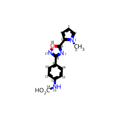 Cn1cccc1-c1nc(-c2ccc(NC(=O)O)cc2)no1